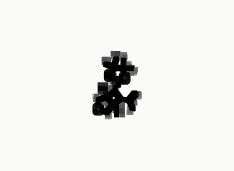 C=C(C)[C@H]1[C@@H]2COC[C@@H]2[C@H]1B1OC(C)(C)C(C)(C)O1